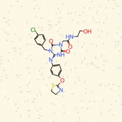 O=C(Cn1c(=O)[nH]/c(=N\c2ccc(OC3=NCCS3)cc2)n(Cc2ccc(Cl)cc2)c1=O)NCCO